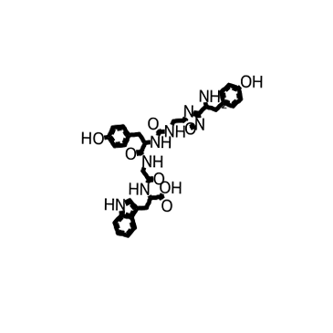 NC(Cc1ccc(O)cc1)c1noc(CNC(=O)NC(Cc2ccc(O)cc2)C(=O)NCC(=O)NC(Cc2c[nH]c3ccccc23)C(=O)O)n1